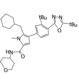 Cn1c(C(=O)NC2CCOCC2)cc(-c2ccc(-c3nnc(C(C)(C)C)o3)c(C(C)(C)C)c2)c1CC1CCCCC1